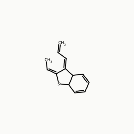 C=C/C=C1\C(=C/C)SC2C=CC=CC12